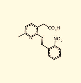 Cc1ccc(CC(=O)O)c(C=Cc2ccccc2[N+](=O)[O-])n1